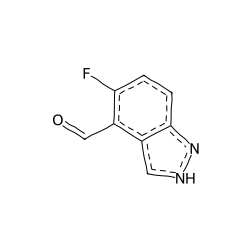 O=Cc1c(F)ccc2n[nH]cc12